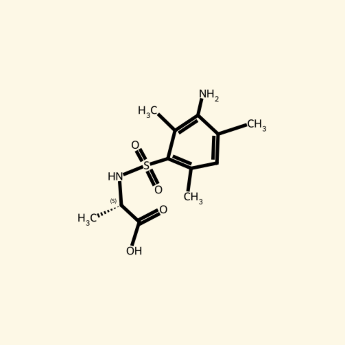 Cc1cc(C)c(S(=O)(=O)N[C@@H](C)C(=O)O)c(C)c1N